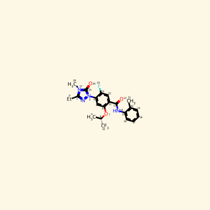 CCc1nn(-c2cc(O[C@@H](C)C(F)(F)F)c(C(=O)Nc3ccccc3C)cc2F)c(=O)n1C